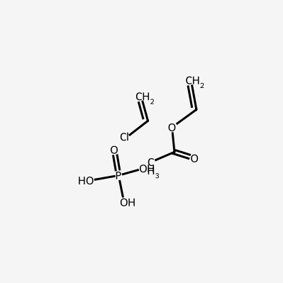 C=CCl.C=COC(C)=O.O=P(O)(O)O